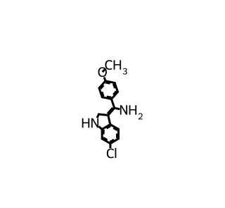 COc1ccc(C(N)=C2CNc3cc(Cl)ccc32)cc1